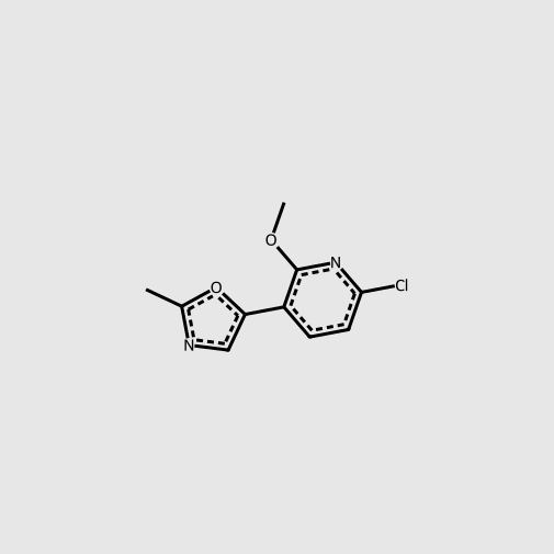 COc1nc(Cl)ccc1-c1cnc(C)o1